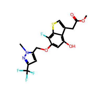 COC(=O)Cc1csc2c(F)c(OCc3cc(C(F)(F)F)nn3C)cc(O)c12